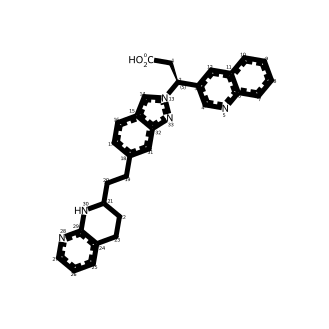 O=C(O)C[C@@H](c1cnc2ccccc2c1)n1cc2ccc(CCC3CCc4cccnc4N3)cc2n1